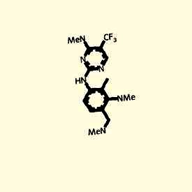 CNCc1ccc(Nc2ncc(C(F)(F)F)c(NC)n2)c(C)c1NC